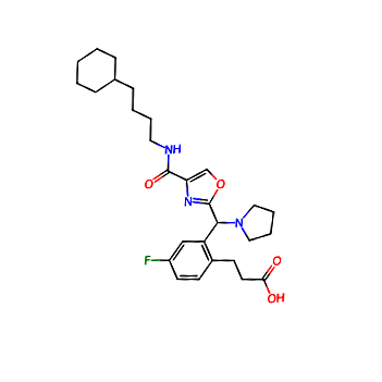 O=C(O)CCc1ccc(F)cc1C(c1nc(C(=O)NCCCCC2CCCCC2)co1)N1CCCC1